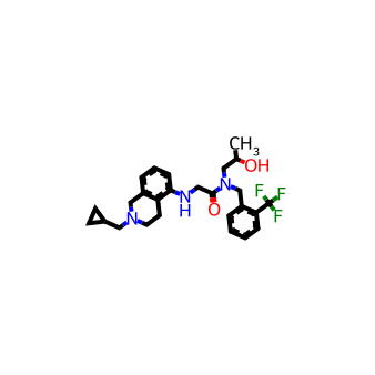 CC(O)CN(Cc1ccccc1C(F)(F)F)C(=O)CNc1cccc2c1CCN(CC1CC1)C2